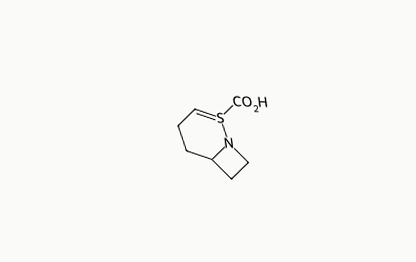 O=C(O)S1=CCCC2CCN21